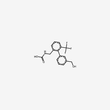 O=C(O)NCc1cccc(C(F)(F)F)c1-c1cccc(CO)c1